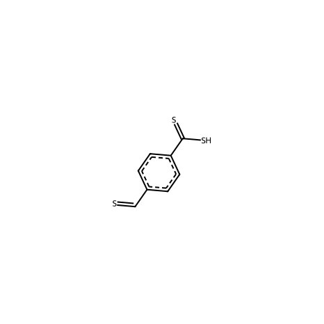 S=Cc1ccc(C(=S)S)cc1